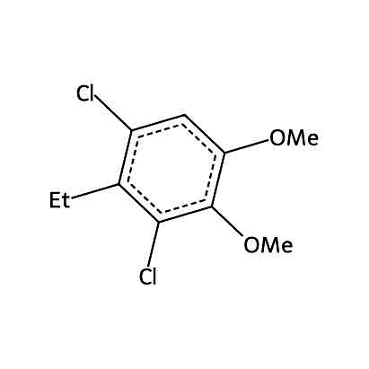 CCc1c(Cl)cc(OC)c(OC)c1Cl